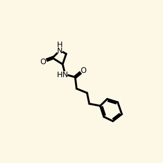 O=C(CCCc1ccccc1)NC1CNC1=O